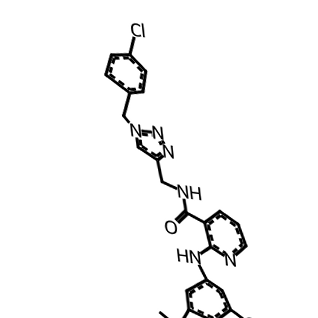 COc1cc(Nc2ncccc2C(=O)NCc2cn(Cc3ccc(Cl)cc3)nn2)cc(OC)c1